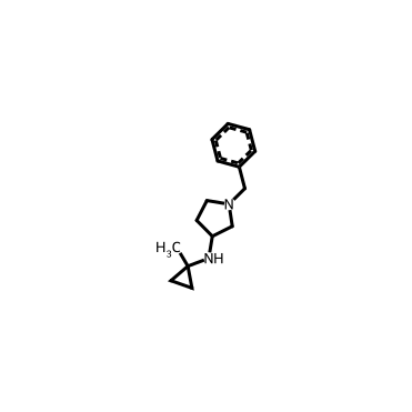 CC1(NC2CCN(Cc3ccccc3)C2)CC1